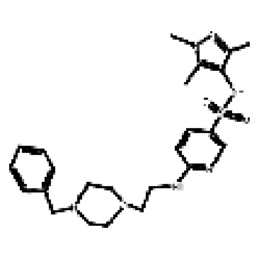 Cc1nn(C)c(C)c1NS(=O)(=O)c1ccc(NCCN2CCN(Cc3ccccc3)CC2)nc1